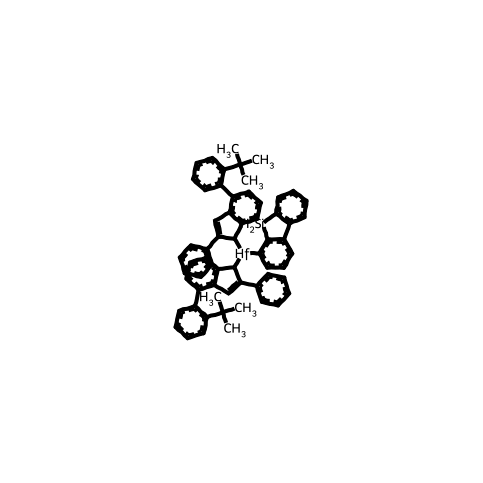 CC(C)(C)c1ccccc1-c1cccc2c1C=C(c1ccccc1)[CH]2[Hf]([c]1cccc2c1[SiH2]c1ccccc1-2)[CH]1C(c2ccccc2)=Cc2c(-c3ccccc3C(C)(C)C)cccc21